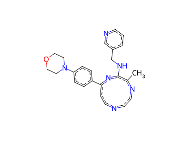 Cc1nccnccc(-c2ccc(N3CCOCC3)cc2)nc1NCc1cccnc1